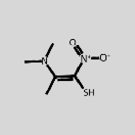 CC(=C(S)[N+](=O)[O-])N(C)C